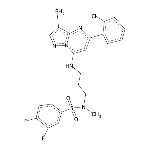 Bc1cnn2c(NCCCN(C)S(=O)(=O)c3ccc(F)c(F)c3)cc(-c3ccccc3Cl)nc12